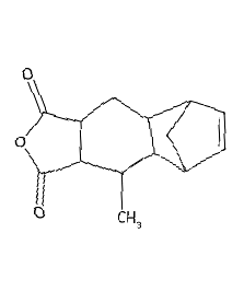 CC1C2C(=O)OC(=O)C2CC2C3C=CC(C3)C12